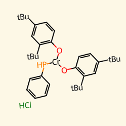 CC(C)(C)c1ccc([O][Cr]([O]c2ccc(C(C)(C)C)cc2C(C)(C)C)[PH]c2ccccc2)c(C(C)(C)C)c1.Cl